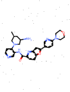 CC1CC(N)CN(c2ccncc2NC(=O)c2ccc3oc(-c4ccc(N5CCOCC5)nc4)cc3n2)C1